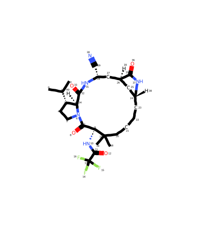 CC(C)[C@H]1CCN2C(=O)[C@@H](NC(=O)C(F)(F)F)C(C)(C)CCCC[C@@H]3C[C@@H](C[C@@H](C#N)NC(=O)[C@H]12)C(=O)N3